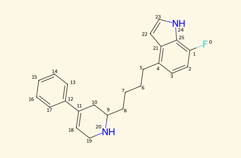 Fc1ccc(CCCCC2CC(c3ccccc3)=CCN2)c2cc[nH]c12